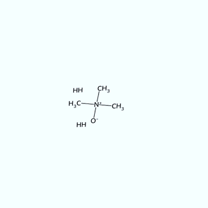 C[N+](C)(C)[O-].[HH].[HH]